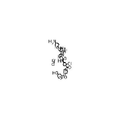 Cn1c(-c2cn(-c3ccc(N)cn3)nc2C(F)(F)F)cnc1C(=O)Nc1ccc(C(=O)N2CCN(C(=O)[C@@H]3CC(O)CC[N+]3(C)C)CC2)c(Cl)c1.O=C[O-]